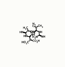 CN(C)C(=N)NC(=N)N.CN(C)C(=N)NC(=N)N(C(=O)O)C(=O)O